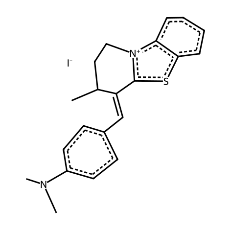 CC1CC[n+]2c(sc3ccccc32)C1=Cc1ccc(N(C)C)cc1.[I-]